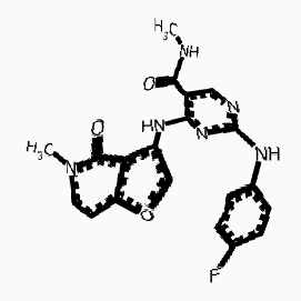 CNC(=O)c1cnc(Nc2ccc(F)cc2)nc1Nc1coc2ccn(C)c(=O)c12